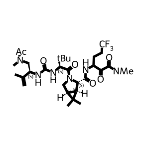 C=C(C)[C@@H](CN(C)C(C)=O)NC(=O)N[C@H](C(=O)N1C[C@H]2[C@@H]([C@H]1C(=O)NC(CCC(F)(F)F)C(=O)C(=O)NC)C2(C)C)C(C)(C)C